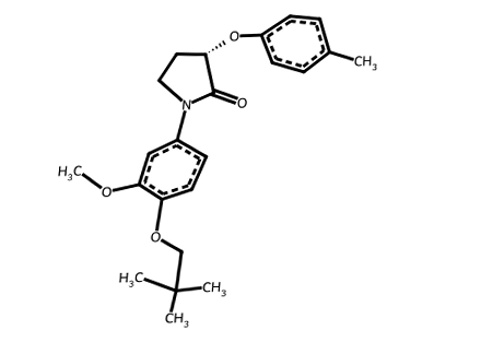 COc1cc(N2CC[C@H](Oc3ccc(C)cc3)C2=O)ccc1OCC(C)(C)C